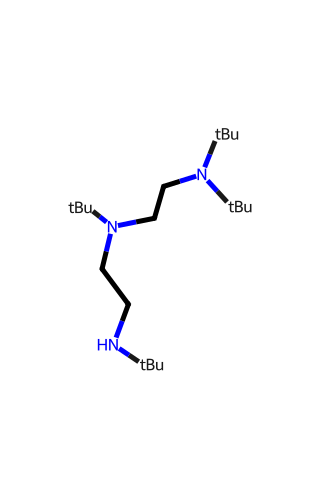 CC(C)(C)NCCN(CCN(C(C)(C)C)C(C)(C)C)C(C)(C)C